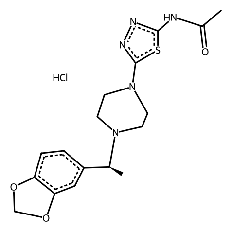 CC(=O)Nc1nnc(N2CCN([C@@H](C)c3ccc4c(c3)OCO4)CC2)s1.Cl